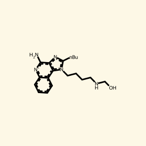 CCCCc1nc2c(N)nc3ccccc3c2n1CCCCNCO